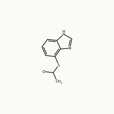 CC([O])Sc1cccc2[nH]cnc12